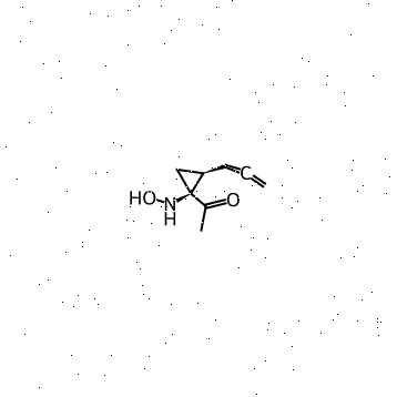 C=C=C[C@@H]1C[C@@]1(NO)C(C)=O